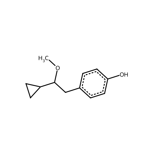 COC(Cc1ccc(O)cc1)C1CC1